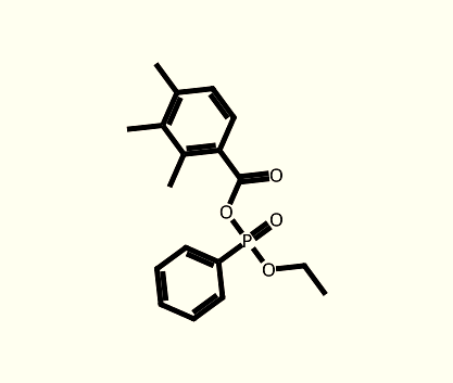 CCOP(=O)(OC(=O)c1ccc(C)c(C)c1C)c1ccccc1